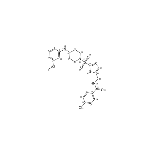 COc1cccc(NC2CCN(S(=O)(=O)c3ccc(CNC(=O)c4ccc(Cl)cc4)s3)CC2)c1